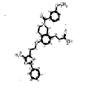 COc1cccc(C(=O)N2CCc3c(OCCc4nc(-c5ccccc5)oc4C)ccc(CCC(=O)O)c3C2)c1